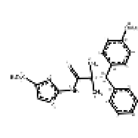 CCOC(=O)c1csc(NC(=O)C(C)(C)[C@@H](c2ccccc2)c2ccc(OC)cc2)n1